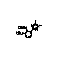 COc1c(-c2nc(C)n(C)n2)cccc1C(C)(C)C